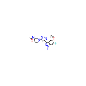 Cc1nc2c(o1)CCN(c1cc(-c3n[nH]c4cc(F)c(OC(C)C)cc34)ncn1)C2